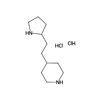 C1CNC(CCC2CCNCC2)C1.Cl.Cl